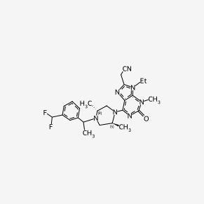 CCn1c(CC#N)nc2c(N3C[C@@H](C)N(C(C)c4cccc(C(F)F)c4)C[C@@H]3C)nc(=O)n(C)c21